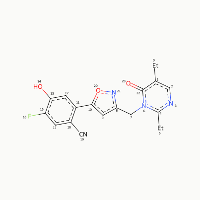 CCc1cnc(CC)n(Cc2cc(-c3cc(O)c(F)cc3C#N)on2)c1=O